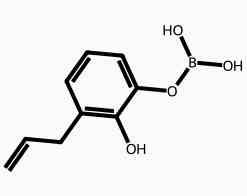 C=CCc1cccc(OB(O)O)c1O